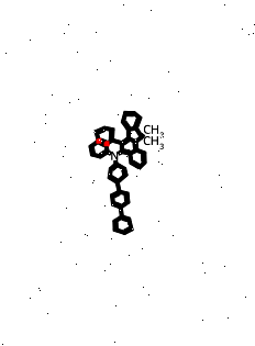 CC1(C)c2ccccc2-c2c(-c3ccccc3)c(N(c3ccccc3)c3ccc(-c4ccc(-c5ccccc5)cc4)cc3)c3ccccc3c21